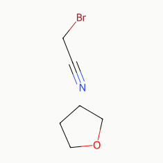 C1CCOC1.N#CCBr